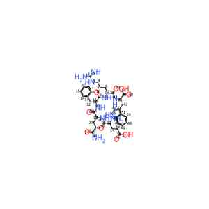 N=C(N)NCCC[C@H](NC(=O)[C@@H](Cc1ccccc1)NC(=O)[C@H](CCC(N)=O)NC(=O)[C@@H](N)CCC(=O)O)C(=O)N[C@@H](Cc1c[nH]c2ccccc12)C(=O)O